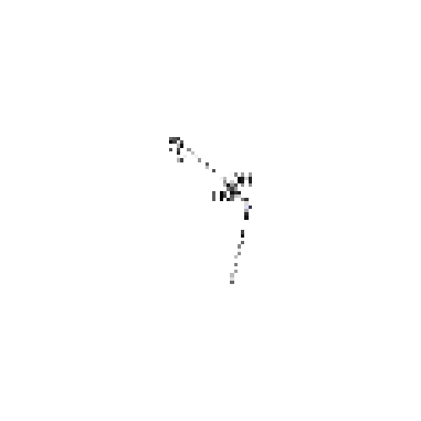 CCCCCCCCCCCCCC/C=C\CC[C@@H](O)[C@H](O)CCCCCCCCCCC1=C[C@H](C)OC1=O